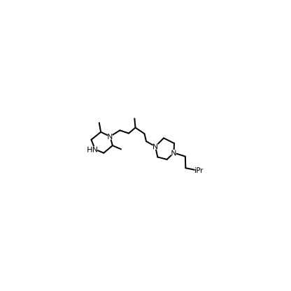 CC(C)CCN1CCN(CCC(C)CCN2C(C)CNCC2C)CC1